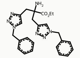 CCOC(=O)C(N)(Cc1cn(Cc2ccccc2)nn1)Cc1cn(Cc2ccccc2)nn1